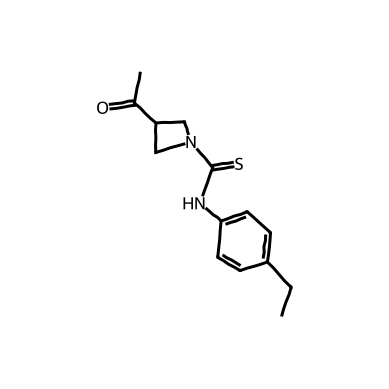 CCc1ccc(NC(=S)N2CC(C(C)=O)C2)cc1